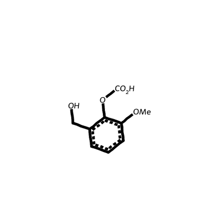 COc1cccc(CO)c1OC(=O)O